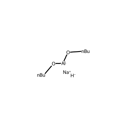 CCCC[O][Al][O]CCCC.[H-].[Na+]